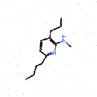 CCCCc1ccc(CCC)c(NC)n1